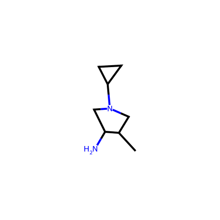 CC1CN(C2CC2)CC1N